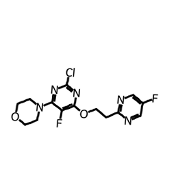 Fc1cnc(CCOc2nc(Cl)nc(N3CCOCC3)c2F)nc1